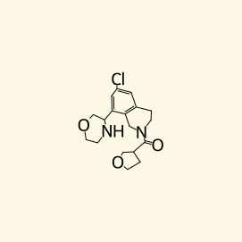 O=C(C1CCOC1)N1CCc2cc(Cl)cc(C3COCCN3)c2C1